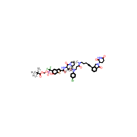 CN(CCCC#Cc1cccc2c1CN(C1CCC(=O)NC1=O)C2=O)C(=O)CCN(C(=O)[C@@H]1CCCN1C(=O)C(NC(=O)c1cc2cc(C(F)(F)P(=O)(O)OCOC(=O)C(C)(C)C)ccc2s1)C(C)(C)C)c1ccc(Br)cc1